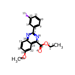 CCOC(=O)c1nc(-c2cccc(I)c2)nc2ccc(OC)cc12